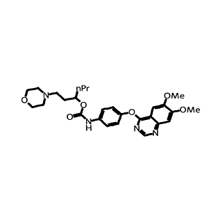 CCCC(CCN1CCOCC1)OC(=O)Nc1ccc(Oc2ncnc3cc(OC)c(OC)cc23)cc1